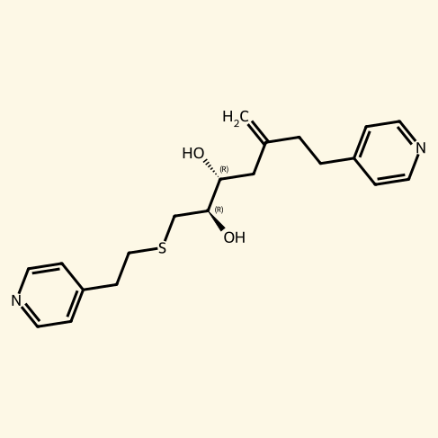 C=C(CCc1ccncc1)C[C@@H](O)[C@@H](O)CSCCc1ccncc1